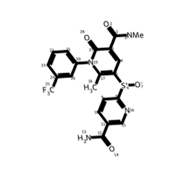 CNC(=O)c1cc([S+]([O-])c2ccc(C(N)=O)cn2)c(C)n(-c2cccc(C(F)(F)F)c2)c1=O